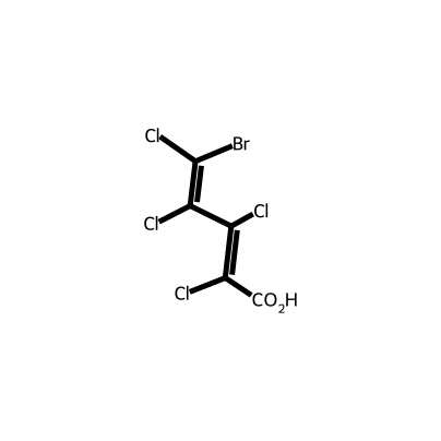 O=C(O)C(Cl)=C(Cl)C(Cl)=C(Cl)Br